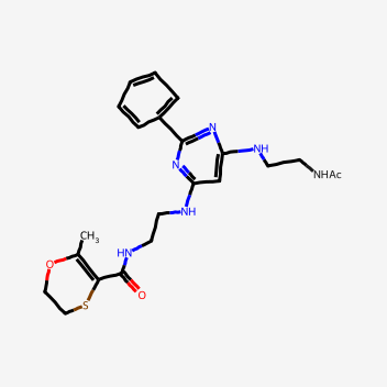 CC(=O)NCCNc1cc(NCCNC(=O)C2=C(C)OCCS2)nc(-c2ccccc2)n1